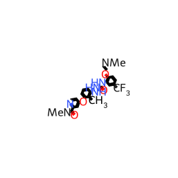 CNCCOc1ccc(C(F)(F)F)cc1NC(=O)NNc1cccc(Oc2ccnc(C(=O)NC)c2)c1C